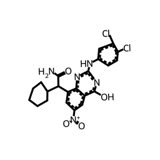 NC(=O)C(c1cc([N+](=O)[O-])cc2c(O)nc(Nc3ccc(Cl)c(Cl)c3)nc12)C1CCCCC1